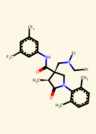 CCN(CC(C)C)C[C@@]1(C(=O)Nc2cc(C(F)(F)F)cc(C(F)(F)F)c2)CN(c2c(C)cccc2C)C(=O)[C@H]1C